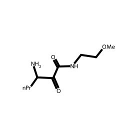 CCCC(N)C(=O)C(=O)NCCOC